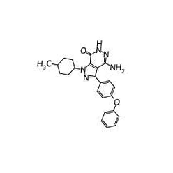 CC1CCC(n2nc(-c3ccc(Oc4ccccc4)cc3)c3c(N)n[nH]c(=O)c32)CC1